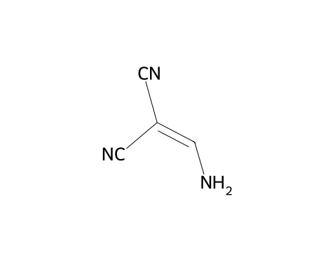 N#CC(C#N)=CN